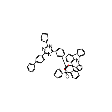 O=P1(c2ccccc2)c2ccccc2C2(c3ccccc3-n3c4ccccc4c4cccc2c43)c2cc(-c3cccc(-c4nc(-c5ccccc5)nc(-c5ccc(-c6ccccc6)cc5)n4)c3)ccc21